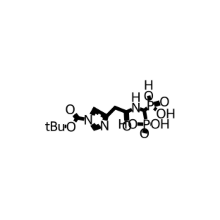 CC(C)(C)OC(=O)n1cnc(CC(=O)NC(P(=O)(O)O)P(=O)(O)O)c1